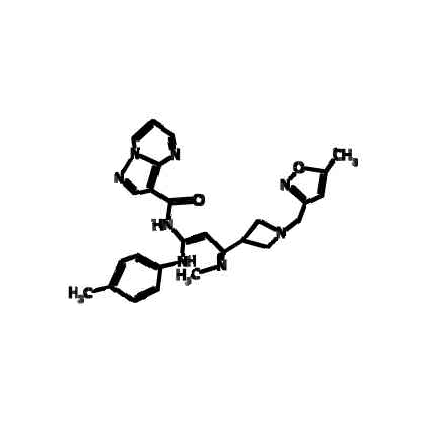 C/N=C(\C=C(\NC(=O)c1cnn2cccnc12)Nc1ccc(C)cc1)C1CN(Cc2cc(C)on2)C1